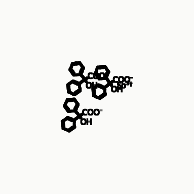 O=C([O-])C(O)(c1ccccc1)c1ccccc1.O=C([O-])C(O)(c1ccccc1)c1ccccc1.O=C([O-])C(O)(c1ccccc1)c1ccccc1.[Sb+3]